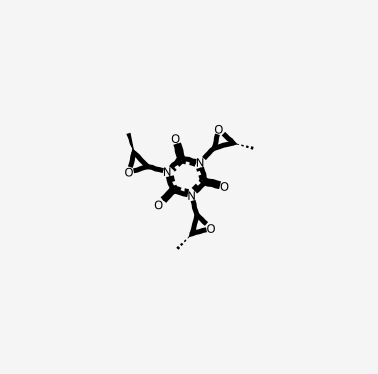 C[C@@H]1OC1n1c(=O)n(C2O[C@@H]2C)c(=O)n(C2O[C@@H]2C)c1=O